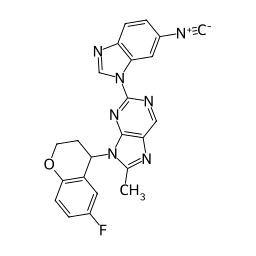 [C-]#[N+]c1ccc2ncn(-c3ncc4nc(C)n(C5CCOc6ccc(F)cc65)c4n3)c2c1